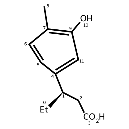 CC[C@H](CC(=O)O)c1ccc(C)c(O)c1